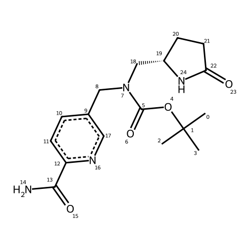 CC(C)(C)OC(=O)N(Cc1ccc(C(N)=O)nc1)C[C@@H]1CCC(=O)N1